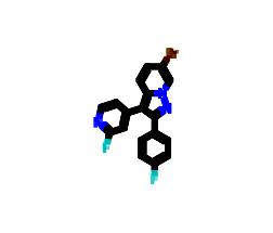 Fc1ccc(-c2nn3cc(Br)ccc3c2-c2ccnc(F)c2)cc1